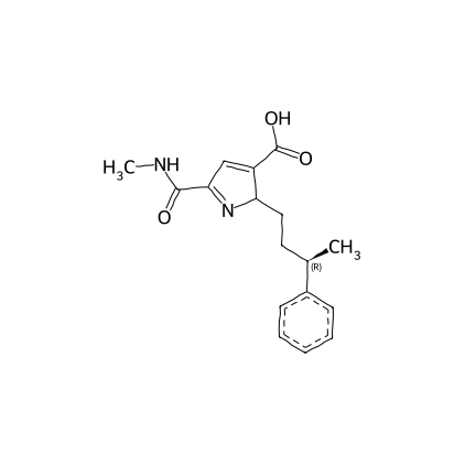 CNC(=O)C1=NC(CC[C@@H](C)c2ccccc2)C(C(=O)O)=C1